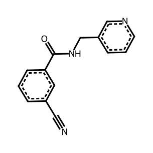 N#Cc1cccc(C(=O)NCc2cccnc2)c1